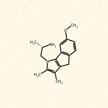 COc1ccc2c(c1)-c1c(c(C)c(C)n1C[C@H](C)N)C2